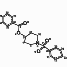 O=C(OC1CCN(S(=O)(=O)c2ccccc2)CC1)c1ccccc1